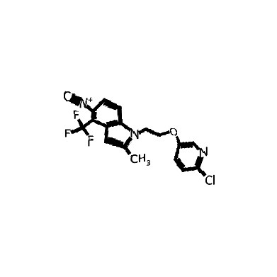 [C-]#[N+]c1ccc2c(cc(C)n2CCOc2ccc(Cl)nc2)c1C(F)(F)F